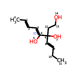 CC=C/[C]=C(\O)C(O)(C=CCC)CCO